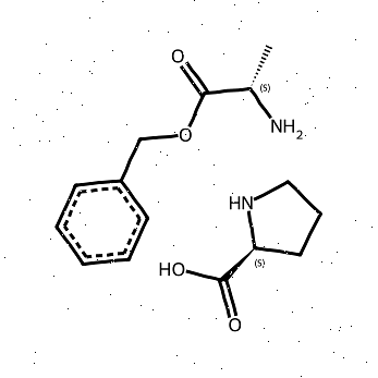 C[C@H](N)C(=O)OCc1ccccc1.O=C(O)[C@@H]1CCCN1